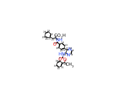 CC(OC(=O)Nc1nccnc1-c1ccc(C(=O)NC(Cc2ccccc2)C(=O)O)cc1)c1ccccc1